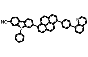 N#Cc1ccc2c3ccc(-c4ccc5ccc6c(-c7ccc(-c8cccc9cccnc89)cc7)ccc7ccc4c5c76)cc3n(-c3ccccc3)c2c1